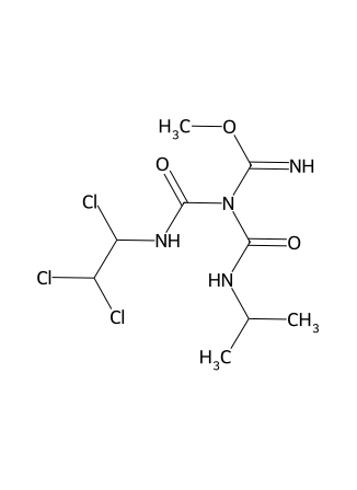 COC(=N)N(C(=O)NC(C)C)C(=O)NC(Cl)C(Cl)Cl